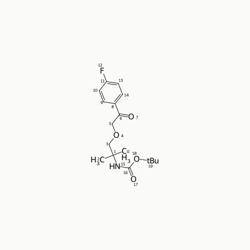 CC(C)(COCC(=O)c1ccc(F)cc1)NC(=O)OC(C)(C)C